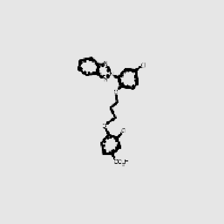 O=C(O)c1ccc(OCCCOc2ccc(Cl)cc2-n2nc3ccccc3n2)c(Cl)c1